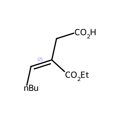 CCCC/C=C(/CC(=O)O)C(=O)OCC